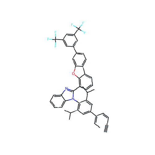 C#C/C=C\C(=C/C)c1cc(C(C)C)c(-n2c(-c3cccc4c3oc3cc(-c5cc(C(F)(F)F)cc(C(F)(F)F)c5)ccc34)nc3ccccc32)c(C(C)C)c1